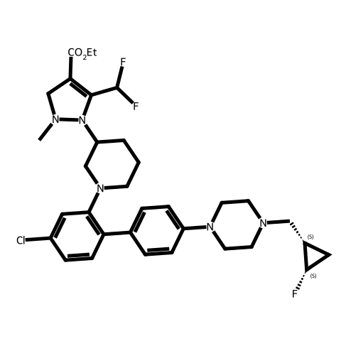 CCOC(=O)C1=C(C(F)F)N(C2CCCN(c3cc(Cl)ccc3-c3ccc(N4CCN(C[C@@H]5C[C@@H]5F)CC4)cc3)C2)N(C)C1